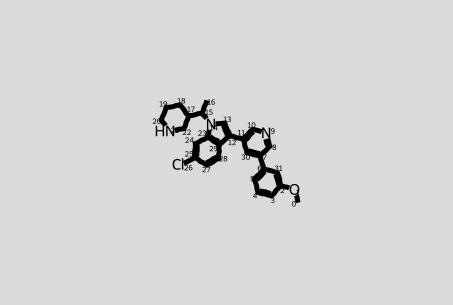 COc1cccc(-c2cncc(-c3cn(C(C)C4CCCNC4)c4cc(Cl)ccc34)c2)c1